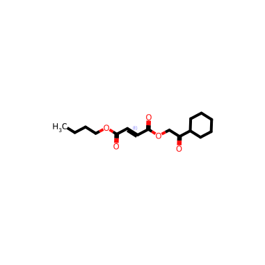 CCCCOC(=O)/C=C/C(=O)OCC(=O)C1CCCCC1